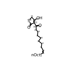 CCCCCCCC/C=C\CCCCCCCC(=O)C1=C(O)CSC1=O